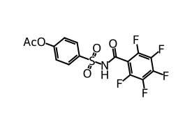 CC(=O)Oc1ccc(S(=O)(=O)NC(=O)c2c(F)c(F)c(F)c(F)c2F)cc1